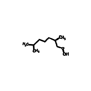 CC(C)CCCC(C)COO